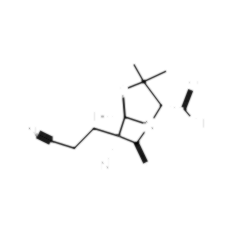 CC1(C)S[C@H]2N(C(=O)[C@@]2(N)CCC#N)[C@H]1C(=O)O